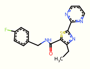 CCc1nc(-c2ncccn2)sc1C(=O)NCc1ccc(F)cc1